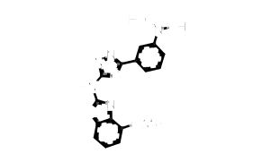 COc1cccc2sc(Nc3nnc(-c4cccc(N(C)C)c4)o3)nc12